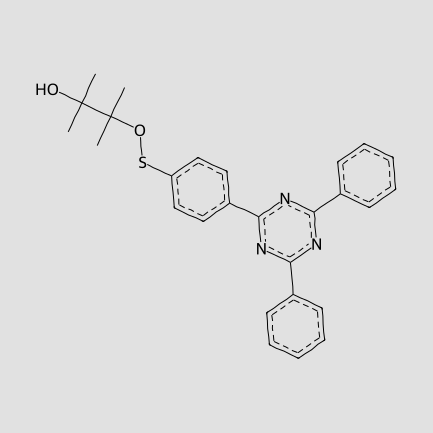 CC(C)(O)C(C)(C)OSc1ccc(-c2nc(-c3ccccc3)nc(-c3ccccc3)n2)cc1